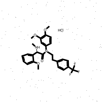 CN[C@H](C(=O)N(CCc1ccc(C(F)(F)F)cc1)c1ccc(OC)c(OC)c1)c1ccccc1OC.Cl